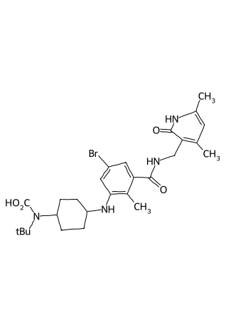 Cc1cc(C)c(CNC(=O)c2cc(Br)cc(NC3CCC(N(C(=O)O)C(C)(C)C)CC3)c2C)c(=O)[nH]1